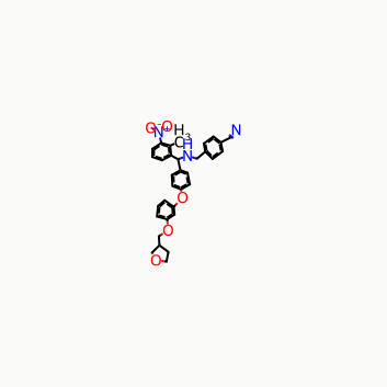 Cc1c(C(NCc2ccc(C#N)cc2)c2ccc(Oc3cccc(OCC4CCOC4)c3)cc2)cccc1[N+](=O)[O-]